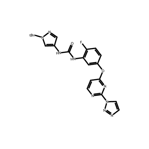 CC(C)(C)n1cc(NC(=O)Nc2cc(Oc3ccnc(-n4ccnn4)n3)ccc2F)cn1